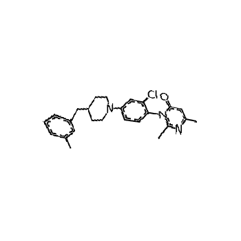 Cc1cccc(CC2CCN(c3ccc(-n4c(C)nc(C)cc4=O)c(Cl)c3)CC2)c1